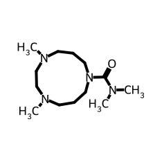 CN1CCCN(C(=O)N(C)C)CCCN(C)CC1